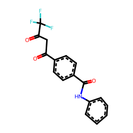 O=C(CC(=O)C(F)(F)F)c1ccc(C(=O)Nc2ccccc2)cc1